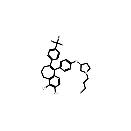 Cc1c(O)ccc2c1CCCC(c1ccc(C(F)(F)F)cc1)=C2c1ccc(O[C@H]2CCN(CCCF)C2)cc1